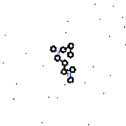 c1ccc(-c2ccccc2-c2ccc(N(c3ccccc3)c3cccc(-c4cccc(-c5cccc6c5c5ccccc5n6-c5ccccc5)c4)c3)cc2)cc1